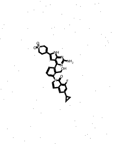 Nc1nc(-c2cccc(-n3ccc4cc(C5CC5)cc(F)c4c3=O)c2CO)c2cc(C3=CCS(=O)(=O)CC3)[nH]c2n1